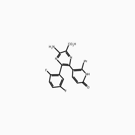 CC(C)c1[nH]c(=O)ccc1-c1nc(C(=O)O)c(N)nc1-c1cc(F)ccc1F